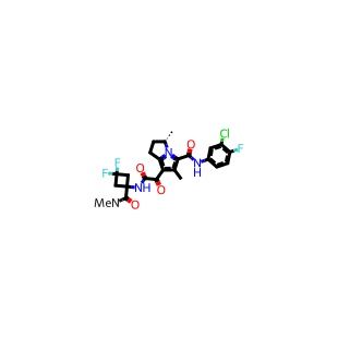 CNC(=O)C1(NC(=O)C(=O)c2c(C)c(C(=O)Nc3ccc(F)c(Cl)c3)n3c2CC[C@@H]3C)CC(F)(F)C1